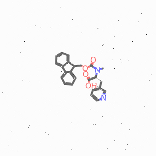 CN(C(=O)OCC1c2ccccc2-c2ccccc21)[C@H](Cc1cccnc1)C(=O)O